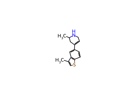 Cc1csc2ccc(C3=CCNC(C)C3)cc12